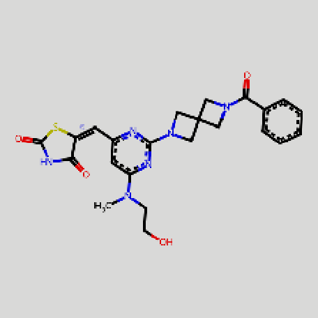 CN(CCO)c1cc(/C=C2/SC(=O)NC2=O)nc(N2CC3(CN(C(=O)c4ccccc4)C3)C2)n1